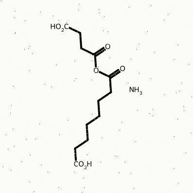 N.O=C(O)CCCCCCC(=O)OC(=O)CCC(=O)O